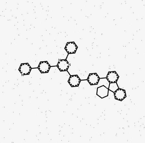 c1ccc(-c2nc(-c3ccc(-c4cccnc4)cc3)cc(-c3cccc(-c4ccc(-c5cccc6c5C5(CCCCC5)c5ccccc5-6)cc4)c3)n2)cc1